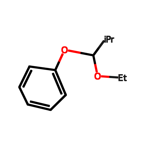 CCOC(Oc1ccccc1)C(C)C